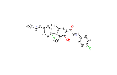 Cc1cc(C(=O)/C=C/c2ccc(Cl)cc2)c(O)c(C)c1C1(Cl)C=CC(/C=C/C(=O)O)=CC1